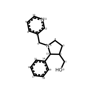 OCC1CCN(Cc2cccnc2)C1c1ccccc1